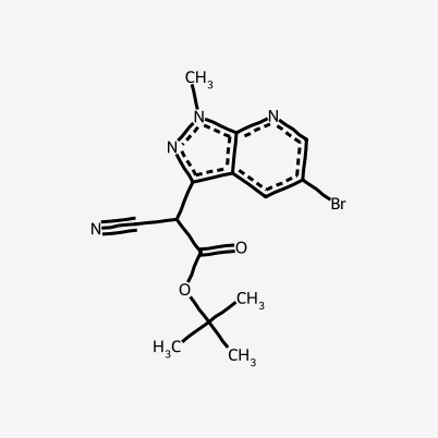 Cn1nc(C(C#N)C(=O)OC(C)(C)C)c2cc(Br)cnc21